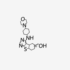 OC[C@H]1CCC2Sc3ncnc(NC4CCC(N5CCOCC5)CC4)c3C2C1